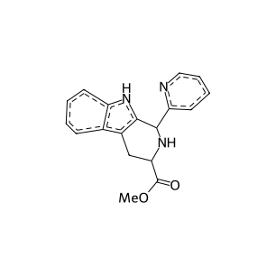 COC(=O)C1Cc2c([nH]c3ccccc23)C(c2ccccn2)N1